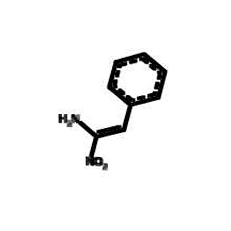 NC(=Cc1ccccc1)[N+](=O)[O-]